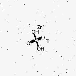 O=S(=O)(O)O.[Ti].[Zr]